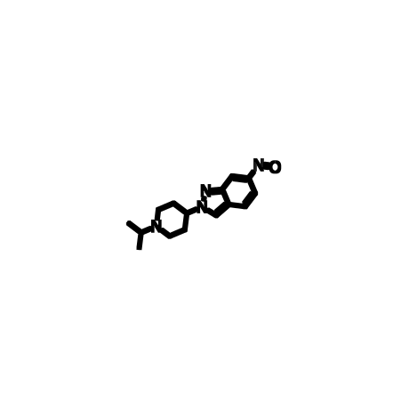 CC(C)N1CCC(n2cc3ccc(N=O)cc3n2)CC1